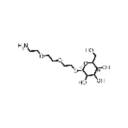 NCCOCCOCCO[C@H]1OC(CO)[C@@H](O)C(O)C1O